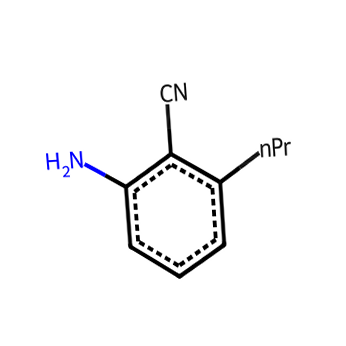 CCCc1cccc(N)c1C#N